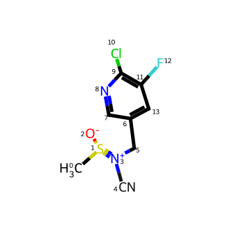 CS([O-])=[N+](C#N)Cc1cnc(Cl)c(F)c1